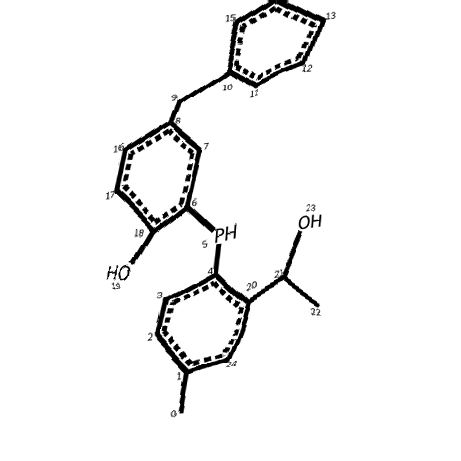 Cc1ccc(Pc2cc(Cc3ccccc3)ccc2O)c(C(C)O)c1